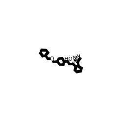 OC(CC1c2ccccc2-c2cnnn21)C1CCC(COCc2ccccc2)CC1